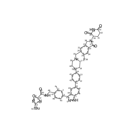 Cc1cc(-c2n[nH]c3ccc(-c4ccc(N5CCN(Cc6cc7c(cc6F)C(=O)N(C6CCC(=O)NC6=O)C7)CC5)cc4)cc23)ccc1CNC(=O)c1nc(C(C)(C)C)no1